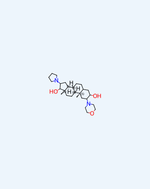 C[C@]12CC(N3CCOCC3)C(O)CC1CC[C@@H]1[C@H]2CC[C@]2(C)C(O)C(N3CCCC3)C[C@@H]12